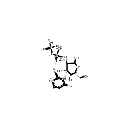 CC(=O)N[C@H]1C(O)O[C@H](CO)[C@H](O)[C@@H]1O.O=P(O)(O)OP(=O)(O)O.O=c1cc[nH]c(=O)[nH]1